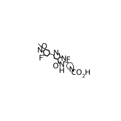 Cc1nc2c(F)cc(-c3cc4c(=O)[nH]c(C5(F)CCN(C(=O)O)CC5)nc4cn3)cc2o1